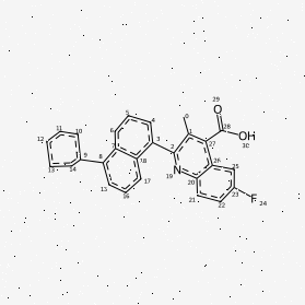 Cc1c(-c2cccc3c(-c4ccccc4)cccc23)nc2ccc(F)cc2c1C(=O)O